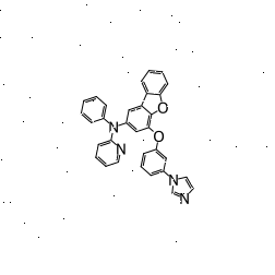 c1ccc(N(c2cc(Oc3cccc(-n4ccnc4)c3)c3oc4ccccc4c3c2)c2ccccn2)cc1